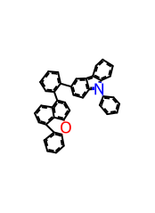 c1ccc(-n2c3ccccc3c3cc(-c4ccccc4-c4ccc5c6c(cccc46)-c4ccccc4O5)ccc32)cc1